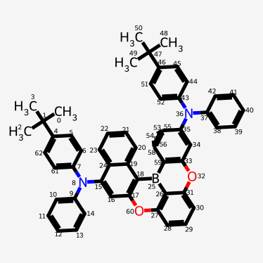 CC(C)(C)c1ccc(N(c2ccccc2)c2cc3c(c4ccccc24)B2c4c(cccc4Oc4cc(N(c5ccccc5)c5ccc(C(C)(C)C)cc5)c5ccccc5c42)O3)cc1